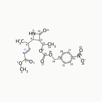 COC(=O)/C=C/C(C)C1NC(=O)C1C(C)OC(=O)OCc1ccc([N+](=O)[O-])cc1